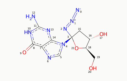 [N-]=[N+]=N[C@]1(n2cnc3c(=O)[nH]c(N)nc32)C[C@H](O)[C@@H](CO)O1